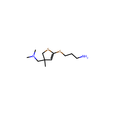 CN(C)CC1(C)C=C(SCCCN)SC1